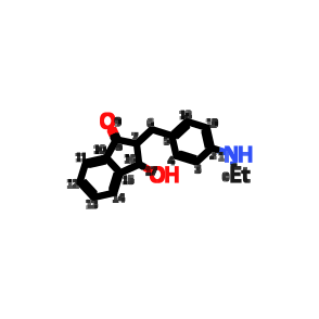 CCNc1ccc(CC2C(=O)c3ccccc3C2O)cc1